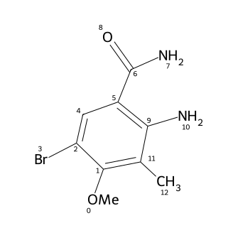 COc1c(Br)cc(C(N)=O)c(N)c1C